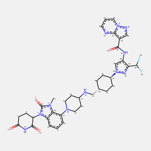 Cn1c(=O)n(C2CCC(=O)NC2=O)c2cccc(N3CCC(NC[C@H]4CC[C@H](n5cc(NC(=O)c6cnn7cccnc67)c(C(F)F)n5)CC4)CC3)c21